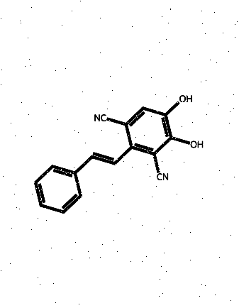 N#Cc1cc(O)c(O)c(C#N)c1/C=C/c1ccccc1